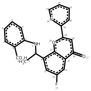 CC(Nc1ccccc1C(=O)O)c1cc(F)cc2c(=O)cc(-c3ccccn3)oc12